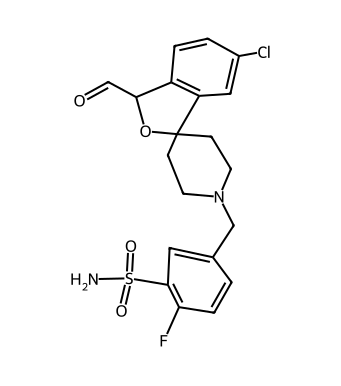 NS(=O)(=O)c1cc(CN2CCC3(CC2)OC(C=O)c2ccc(Cl)cc23)ccc1F